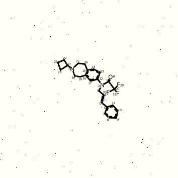 O=C(N(C/C=C/c1ccccc1)c1ccc2c(c1)CCN(C1CCC1)CC2)C(F)(F)F